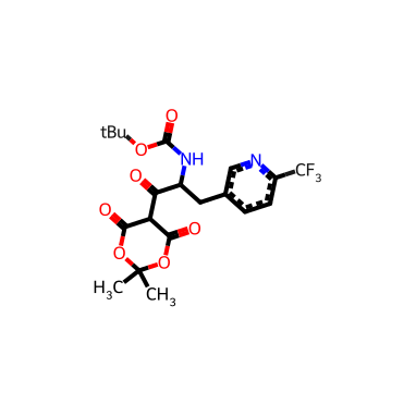 CC(C)(C)OC(=O)NC(Cc1ccc(C(F)(F)F)nc1)C(=O)C1C(=O)OC(C)(C)OC1=O